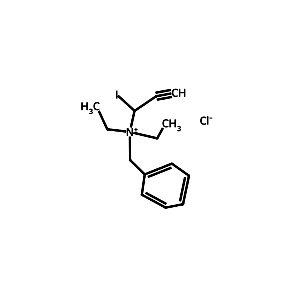 C#CC(I)[N+](CC)(CC)Cc1ccccc1.[Cl-]